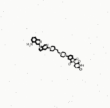 Nc1cccc2cnc(-n3ccc4cc(N5CCC(CCN6CCN(c7ccc8c(c7)C(=O)N(C7CCC(=O)NC7=O)C8=O)CC6)CC5)ncc43)cc12